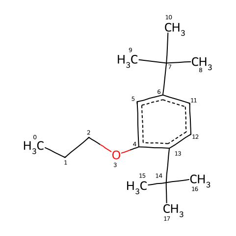 CCCOc1cc(C(C)(C)C)ccc1C(C)(C)C